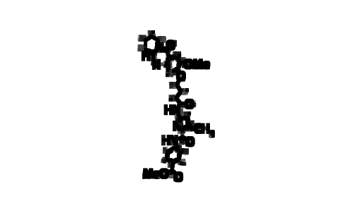 COC(=O)c1ccc(NC(=O)c2nc(NC(=O)CCCOc3cc4c(cc3OC)C(=O)N3CCCC[C@H]3C=N4)cn2C)cc1